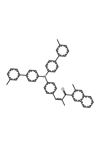 C/C(=C/c1ccc(N(c2ccc(-c3cccc(C)c3)cc2)c2ccc(-c3cccc(C)c3)cc2)cc1)C(=O)c1cc2ccccc2cc1C